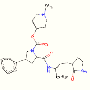 CC(CC1CCNC1=O)NC(=O)C1CC(c2ccccc2)CN1C(=O)OC1CCN(C)CC1